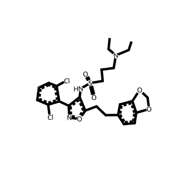 CCN(CC)CCCS(=O)(=O)Nc1c(-c2c(Cl)cccc2Cl)noc1CCc1ccc2c(c1)OCO2